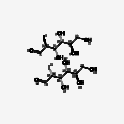 O=C[C@@H](I)[C@@H](O)[C@H](O)[C@H](O)CO.O=C[C@H](I)[C@@H](O)[C@H](O)[C@H](O)CO